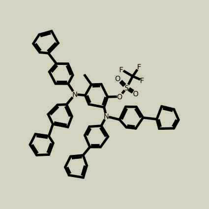 Cc1cc(OS(=O)(=O)C(F)(F)F)c(N(c2ccc(-c3ccccc3)cc2)c2ccc(-c3ccccc3)cc2)cc1N(c1ccc(-c2ccccc2)cc1)c1ccc(-c2ccccc2)cc1